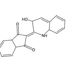 O=C1C(=C2NC3C=CC=CC3=CC2O)C(=O)C2C=CC=CC12